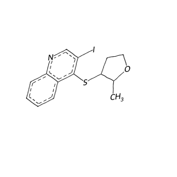 CC1OCCC1Sc1c(I)cnc2ccccc12